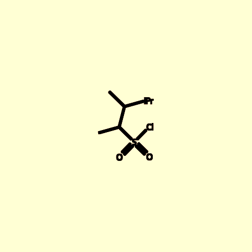 CC(C)C(C)C(C)S(=O)(=O)Cl